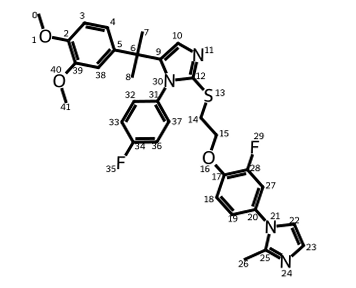 COc1ccc(C(C)(C)c2cnc(SCCOc3ccc(-n4ccnc4C)cc3F)n2-c2ccc(F)cc2)cc1OC